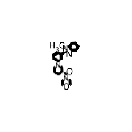 Cn1c(-c2cccc(N3CCC[C@H](C(=O)N4CCOCC4)C3)c2)nc2ccccc21